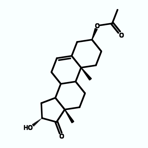 CC(=O)O[C@H]1CC[C@@]2(C)C(=CCC3C2CC[C@]2(C)C(=O)[C@H](O)CC32)C1